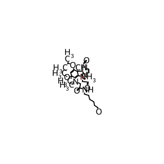 COC1(C)C=C(OC(C)C)C(C)(C2=NCCN2C=O)C(N(C)CC=O)=C1N(C)CC(=O)NCCCCCC=O